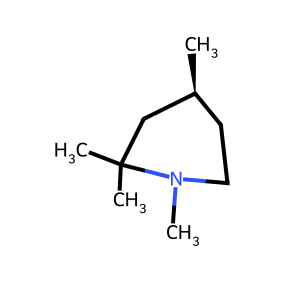 C[C@H]1CCN(C)C(C)(C)C1